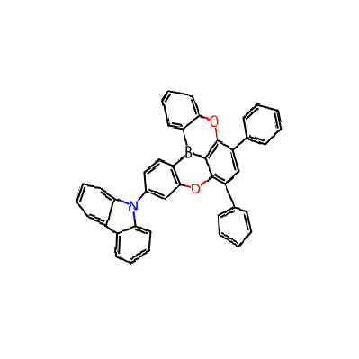 c1ccc(-c2cc(-c3ccccc3)c3c4c2Oc2ccccc2B4c2ccc(-n4c5ccccc5c5ccccc54)cc2O3)cc1